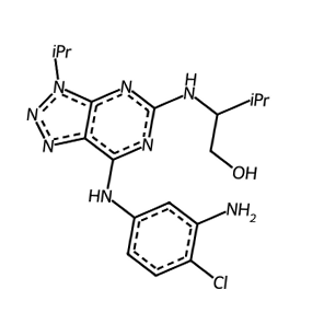 CC(C)C(CO)Nc1nc(Nc2ccc(Cl)c(N)c2)c2nnn(C(C)C)c2n1